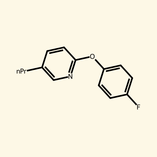 CCCc1ccc(Oc2ccc(F)cc2)nc1